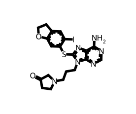 Nc1ncnc2c1nc(Sc1cc3c(cc1I)CCO3)n2CCCN1CCC(=O)C1